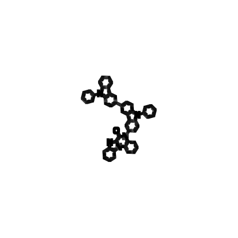 O=c1c2nc3ccccc3n2c2ccccc2n1-c1ccc2c(c1)c1cc(-c3ccc4c(c3)c3ccccc3n4-c3ccccc3)ccc1n2-c1ccccc1